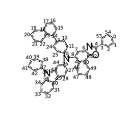 c1ccc(-c2nc3cc(N(c4ccc(-c5cccc6ccccc56)cc4)c4ccc5c6ccccc6n(-c6ccccc6)c5c4)c4ccccc4c3o2)cc1